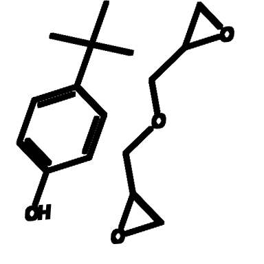 C(OCC1CO1)C1CO1.CC(C)(C)c1ccc(O)cc1